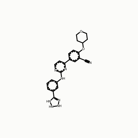 N#Cc1cc(-c2ccnc(Nc3cccc(C4=NNNN4)c3)n2)ccc1OC1CCOCC1